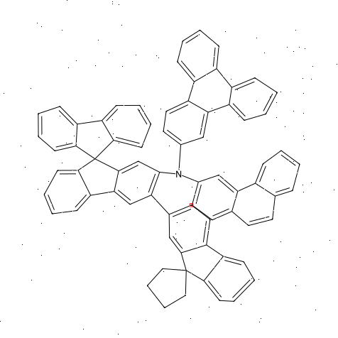 c1ccc2c(c1)-c1ccc(-c3cc4c(cc3N(c3ccc5ccc6ccccc6c5c3)c3ccc5c6ccccc6c6ccccc6c5c3)C3(c5ccccc5-c5ccccc53)c3ccccc3-4)cc1C21CCCC1